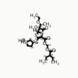 CCO[C@H](C)[C@@]1(C)C(=O)N2C(C(=O)OCOC(=O)C(CC)CC)=C(S[C@H]3CC[Si@@H](O)C3)S[C@@H]21